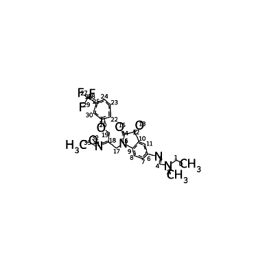 CCN(C)/C=N/c1ccc2c(c1)C(=O)C(=O)N2C/C(COc1cccc(C(F)(F)F)c1)=N/OC